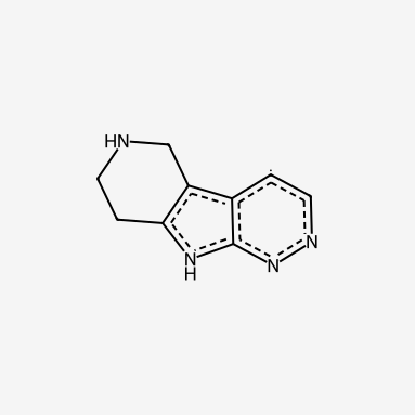 [c]1cnnc2[nH]c3c(c12)CNCC3